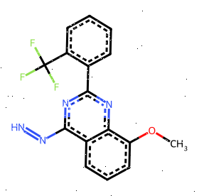 COc1cccc2c(N=N)nc(-c3ccccc3C(F)(F)F)nc12